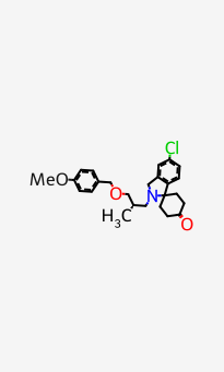 COc1ccc(COC[C@H](C)CN2Cc3cc(Cl)ccc3C23CCC(=O)CC3)cc1